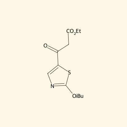 CCOC(=O)CC(=O)c1cnc(OCC(C)C)s1